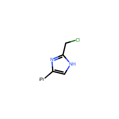 CC(C)c1c[nH]c(CCl)n1